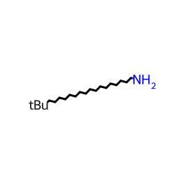 CC(C)(C)CCCCCCCCCCCCCCCCCN